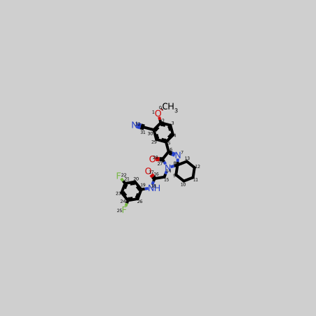 COc1ccc(C2=NC3(CCCCC3)N(CC(=O)Nc3cc(F)cc(F)c3)C2=O)cc1C#N